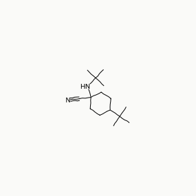 CC(C)(C)NC1(C#N)CCC(C(C)(C)C)CC1